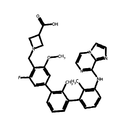 COc1cc(-c2cccc(-c3cccc(Nc4nccn5ccnc45)c3C)c2C)cc(F)c1CN1CC(C(=O)O)C1